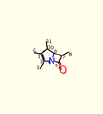 CC1=C(C)N2C(=O)C(C)C2C1C